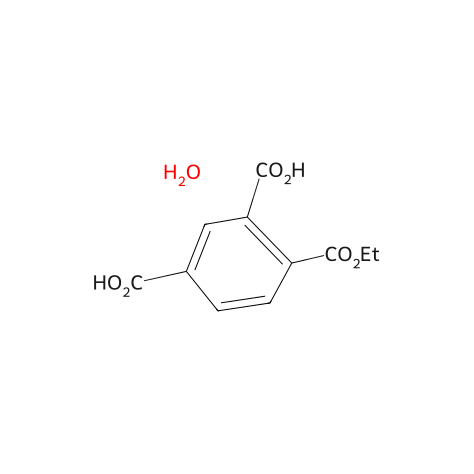 CCOC(=O)c1ccc(C(=O)O)cc1C(=O)O.O